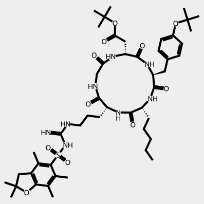 CCCCC[C@H]1NC(=O)[C@H](Cc2ccc(OC(C)(C)C)cc2)NC(=O)[C@@H](CC(=O)OC(C)(C)C)NC(=O)CNC(=O)[C@@H](CCCNC(=N)NS(=O)(=O)c2c(C)c(C)c3c(c2C)CC(C)(C)O3)NC1=O